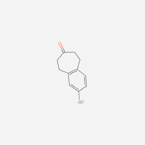 O=Nc1ccc2c(c1)CCC(=O)CC2